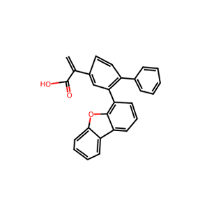 C=C(C(=O)O)c1ccc(-c2ccccc2)c(-c2cccc3c2oc2ccccc23)c1